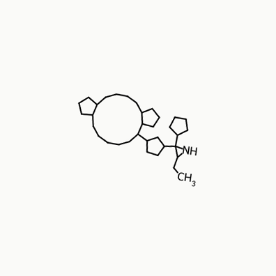 CCC1NC1(C1CCCC1)C1CCC(C2CCCCCC3CCCC3CCCCC3CCCC32)C1